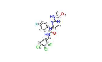 COC[C@H](C)Nc1nccc(N(C(=O)NCc2ccc(Cl)c(Cl)c2Cl)c2ccc(F)cc2)n1